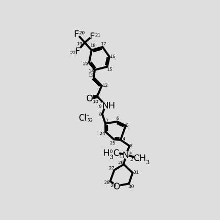 C[N+](C)(Cc1ccc(CNC(=O)/C=C/c2cccc(C(F)(F)F)c2)cc1)C1CCOCC1.[Cl-]